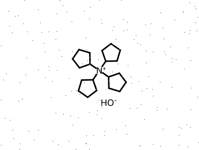 C1CCC([N+](C2CCCC2)(C2CCCC2)C2CCCC2)C1.[OH-]